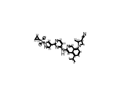 CC(C)c1ccc(N2CC(C#N)C2C)c2cnc(Nc3ccnc(-c4cnn(S(=O)(=O)C5CC5)c4)n3)cc12